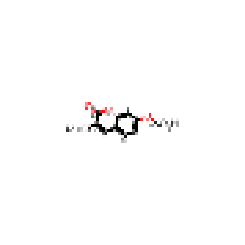 COC(=Cc1ccc(OS(=O)(=O)O)cc1)C([O])=O